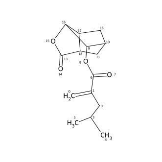 C=C(CC(C)C)C(=O)OC1C2CC3C(=O)OC1C3C2